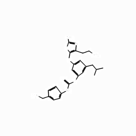 CC(C)Cc1cc(OC(=O)Nc2ccc(CN)cc2)cc(Oc2sc(N)nc2CCN)c1